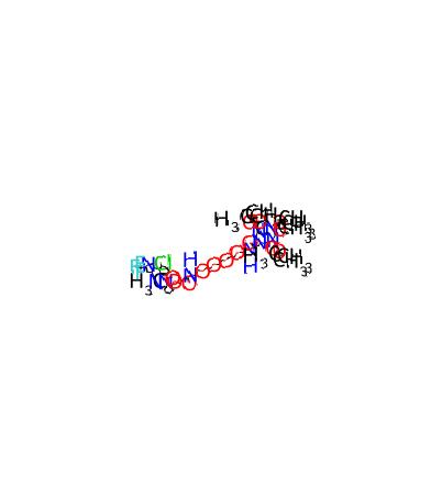 CN(C(=O)c1ccc(Cl)c(-c2cnc(C(F)(F)F)cc2C#N)c1)c1ccccc1OCCC(=O)NCCOCCOCCOCCOCCNC(=O)CN1CCN(CC(=O)OC(C)(C)C)CCN(CC(=O)OC(C)(C)C)CCN(CC(=O)OC(C)(C)C)CC1